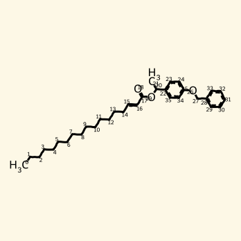 CCCCCCCCCCCCCCCC=CC(=O)OC(C)c1ccc(OCc2ccccc2)cc1